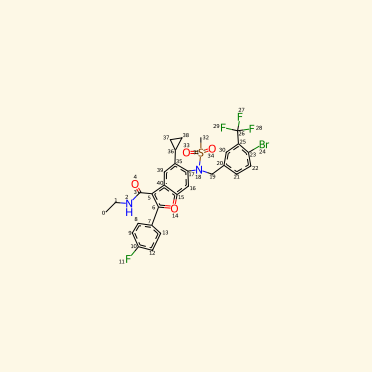 CCNC(=O)c1c(-c2ccc(F)cc2)oc2cc(N(Cc3ccc(Br)c(C(F)(F)F)c3)S(C)(=O)=O)c(C3CC3)cc12